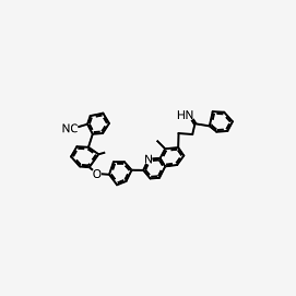 Cc1c(Oc2ccc(-c3ccc4ccc(CCC(=N)c5ccccc5)c(C)c4n3)cc2)cccc1-c1ccccc1C#N